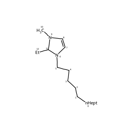 CCCCCCCCCCCCN1C=CN(C)C1CC